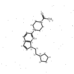 CC(=O)N1CCN(c2ccc3ccn(CCN4CCCC4)c3n2)CC1